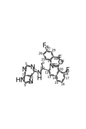 C[C@H](Nc1ncnc2[nH]cnc12)c1cc2cccc(F)c2c(=O)n1-c1ccc(F)cc1F